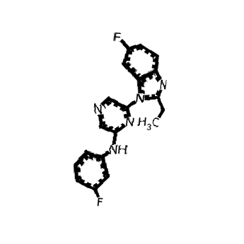 CCc1nc2ccc(F)cc2n1-c1cncc(Nc2cccc(F)c2)n1